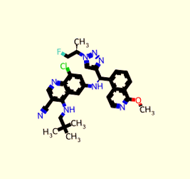 COc1nccc2c([C@H](Nc3cc(Cl)c4ncc(C#N)c(NCC(C)(C)C)c4c3)c3cn([C@@H](C)CF)nn3)cccc12